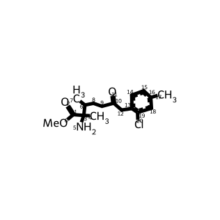 COC(=O)C(C)(N)C(C)CCC(=O)Cc1ccc(C)cc1Cl